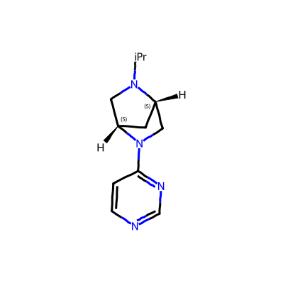 CC(C)N1C[C@@H]2C[C@H]1CN2c1ccncn1